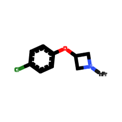 CCCN1CC(Oc2ccc(Cl)cc2)C1